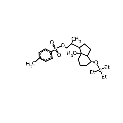 CC[Si](CC)(CC)O[C@H]1CCC[C@]2(C)C([C@H](C)COS(=O)(=O)c3ccc(C)cc3)CCC12